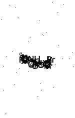 Cc1cc(NC(=O)CC(=O)COc2cccc(Br)c2)ccn1